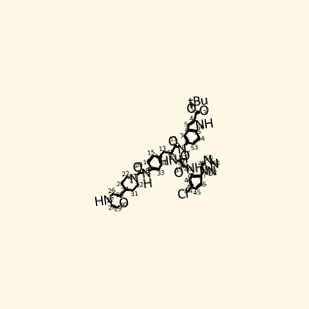 CC(C)(C)OC(=O)c1cc2cc(NC(=O)C(Cc3ccc(NC(=O)N4CCC(C5CNCCO5)CC4)cc3)NC(=O)C(=O)Nc3cc(Cl)ccc3-n3cnnn3)ccc2[nH]1